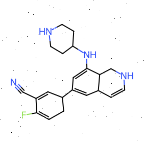 N#CC1=CC(C2=CC3C=CNCC3C(NC3CCNCC3)=C2)CC=C1F